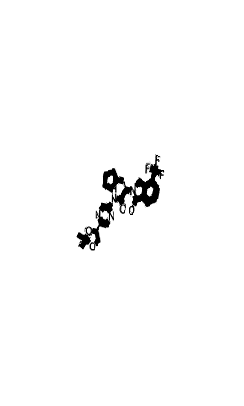 CC1(C)OC[C@H](c2cnc(NC(=O)[C@H](CC3CCCC3)N3Cc4c(cccc4C(F)(F)F)C3=O)cn2)O1